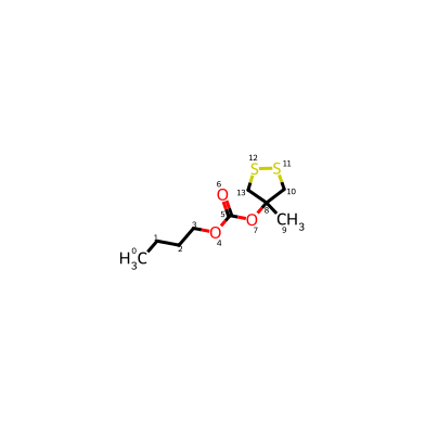 CCCCOC(=O)OC1(C)CSSC1